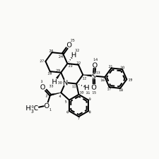 COC(=O)[C@@H]1c2ccccc2[C@@H]2[C@H](S(=O)(=O)c3ccccc3)C[C@@H]3C(=O)CCC[C@H]3N12